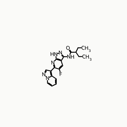 CCC(CC)C(=O)Nc1n[nH]c2nc(-c3cnn4ccccc34)c(F)cc12